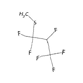 CSC(F)(F)C(F)C(F)(F)F